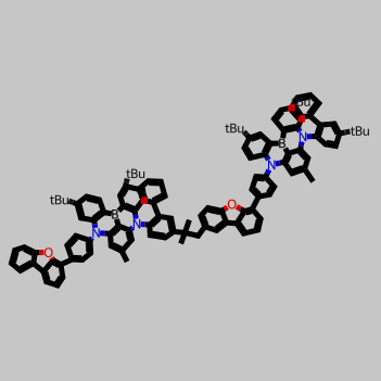 Cc1cc2c3c(c1)N(c1ccc(C(C)(C)Cc4ccc5oc6c(-c7ccc(N8c9ccc(C(C)(C)C)cc9B9c%10ccc(C(C)(C)C)cc%10N(c%10ccc(C(C)(C)C)cc%10-c%10ccccc%10)c%10cc(C)cc8c%109)cc7)cccc6c5c4)cc1-c1ccccc1)c1ccc(C(C)(C)C)cc1B3c1ccc(C(C)(C)C)cc1N2c1ccc(-c2cccc3c2oc2ccccc23)cc1